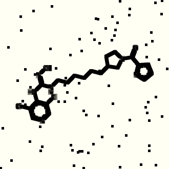 N#CN=C(NCCCCCCC1CCN(C(=O)c2cccs2)C1)Nc1c(Cl)cncc1Cl